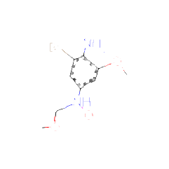 COC[NH+]([O-])c1cc(Br)c(N)c(OC)c1